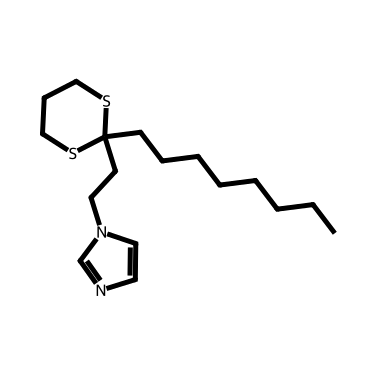 CCCCCCCCC1(CCn2ccnc2)SCCCS1